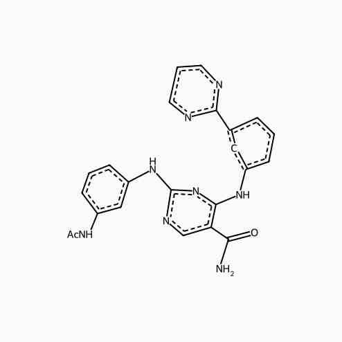 CC(=O)Nc1cccc(Nc2ncc(C(N)=O)c(Nc3cccc(-c4ncccn4)c3)n2)c1